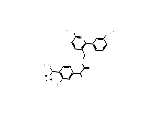 COc1cccc(-c2nc(C(F)(F)F)ccc2CNC(=O)C(C)c2ccc(C(N)S(C)(=O)=O)c(F)c2)c1